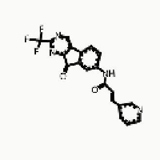 O=C(C=Cc1cccnc1)Nc1ccc2c(c1)C(=O)c1nc(C(F)(F)F)ncc1-2